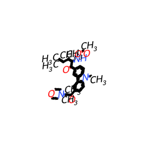 CCn1c2ccc(C(=O)C(NOC(C)=O)C(C)CC(C)(C)C)cc2c2cc(C(=O)C(C)(C)N3CCOCC3)ccc21